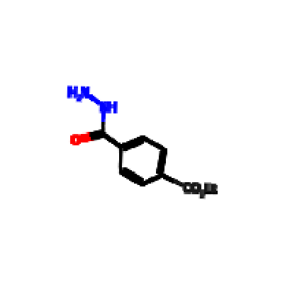 CCOC(=O)c1ccc(C(=O)NN)cc1